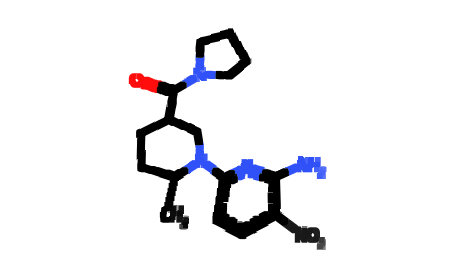 CC1CCC(C(=O)N2CCCC2)CN1c1ccc([N+](=O)[O-])c(N)n1